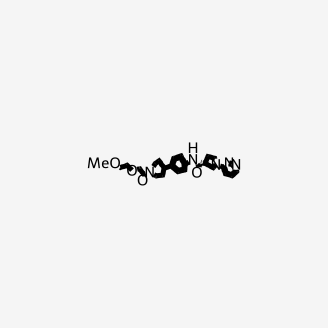 COCCOCC(=O)N1CCC(c2ccc(NC(=O)[C@H]3CCN(c4cccnn4)C3)cc2)CC1